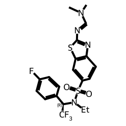 CCN([C@H](c1ccc(F)cc1)C(F)(F)F)S(=O)(=O)c1ccc2nc(N=CN(C)C)sc2c1